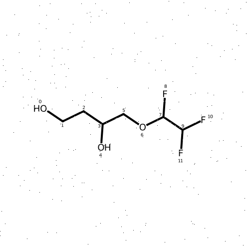 OCCC(O)COC(F)C(F)F